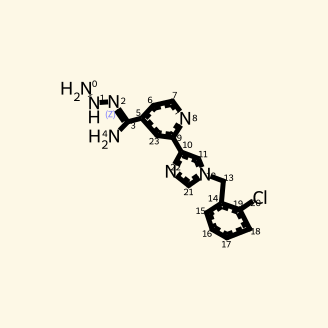 NN/N=C(\N)c1ccnc(-c2cn(Cc3ccccc3Cl)cn2)c1